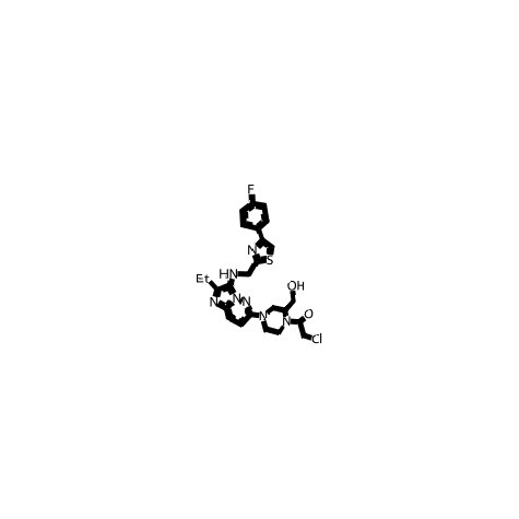 CCc1nc2ccc(N3CCN(C(=O)CCl)C(CO)C3)nn2c1NCc1nc(-c2ccc(F)cc2)cs1